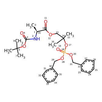 C[C@H](NC(=O)OC(C)(C)C)C(=O)OCC(C)(C)OP(=O)(OCc1ccccc1)OCc1ccccc1